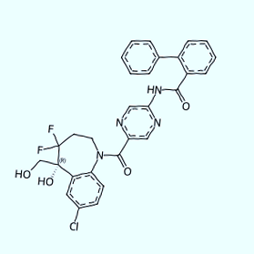 O=C(Nc1cnc(C(=O)N2CCC(F)(F)[C@](O)(CO)c3cc(Cl)ccc32)cn1)c1ccccc1-c1ccccc1